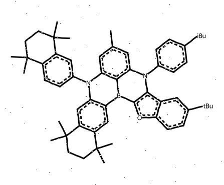 CCC(C)c1ccc(N2c3cc(C)cc4c3B(c3cc5c(cc3N4c3ccc4c(c3)C(C)(C)CCC4(C)C)C(C)(C)CCC5(C)C)c3oc4ccc(C(C)(C)C)cc4c32)cc1